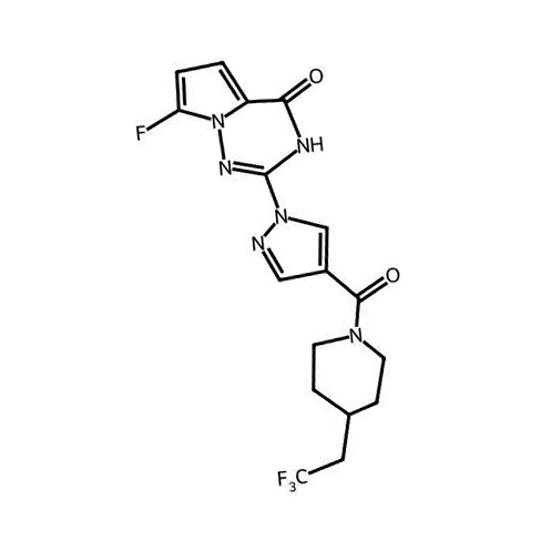 O=C(c1cnn(-c2nn3c(F)ccc3c(=O)[nH]2)c1)N1CCC(CC(F)(F)F)CC1